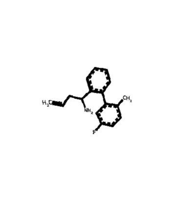 C=CCC(N)c1ccccc1-c1cc(F)ccc1C